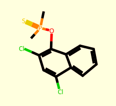 CP(C)(=S)Oc1c(Cl)cc(Cl)c2ccccc12